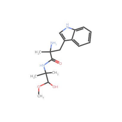 COC(O)C(C)(C)NC(=O)C(C)(N)Cc1c[nH]c2ccccc12